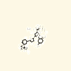 CC(C)(O)c1cc(-c2ccc(-c3cccc(S(C)(=O)=O)c3)s2)n(-c2cc(Cl)ccc2Cl)n1